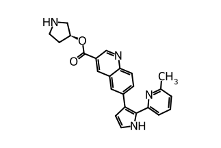 Cc1cccc(-c2[nH]ccc2-c2ccc3ncc(C(=O)O[C@H]4CCNC4)cc3c2)n1